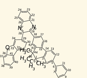 CC1(C)c2cc(-c3ccccc3)ccc2-c2ccc(-c3nc4ccccc4nc3-c3ccc4c(c3)oc3ccccc34)cc2C1(C)C